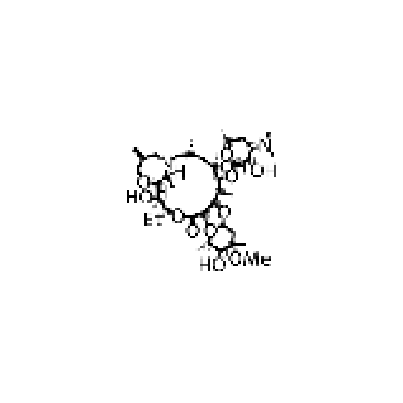 C=C1CO[C@@H]2[C@@H](C)N(C1)C[C@H](C)C[C@@](C)(O)[C@H](O[C@@H]1O[C@H](C)C[C@H](N(C)C)[C@H]1O)[C@@H](C)[C@H](OC1C[C@@](C)(OC)[C@@H](O)[C@H](C)O1)[C@@H](C)C(=O)O[C@H](CC)[C@@]2(C)O